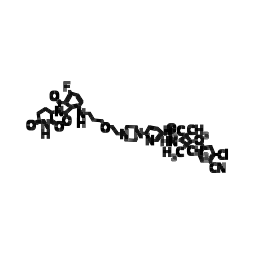 CC1(C)[C@H](NC(=O)c2ccc(N3CCN(CCOCCCNc4ccc(F)c5c4C(=O)N(C4CCC(=O)NC4=O)C5=O)CC3)nc2)C(C)(C)[C@H]1Oc1ccc(C#N)c(Cl)c1